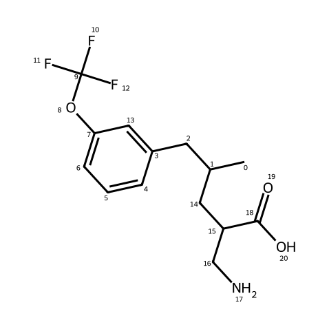 CC(Cc1cccc(OC(F)(F)F)c1)CC(CN)C(=O)O